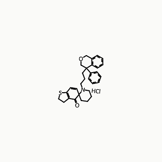 Cl.O=C1C2=C(C=CC13CCCCN3CCCC1(c3ccccc3)COCc3ccccc31)SCC2